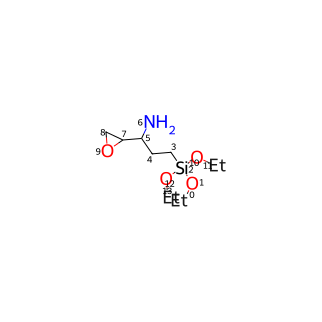 CCO[Si](CCC(N)C1CO1)(OCC)OCC